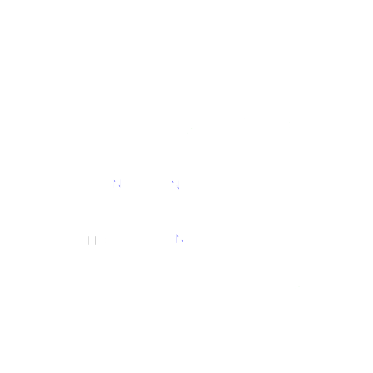 Cc1nc(-c2ccccc2)cn2c(-c3ccc(Cl)cc3Cl)c(-c3ccc(Cl)cc3)nc12